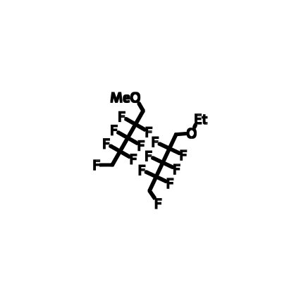 CCOCC(F)(F)C(F)(F)C(F)(F)CF.COCC(F)(F)C(F)(F)C(F)(F)CF